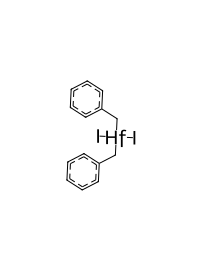 [I][Hf]([I])([CH2]c1ccccc1)[CH2]c1ccccc1